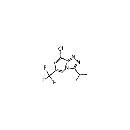 CC(C)c1nnc2c(Cl)cc(C(F)(F)F)cn12